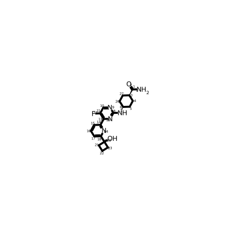 NC(=O)[C@H]1CC[C@H](Nc2ncc(F)c(-c3cccc(C4(O)CCC4)n3)n2)CC1